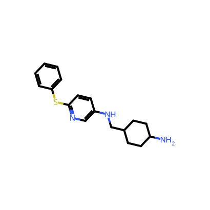 NC1CCC(CNc2ccc(Sc3ccccc3)nc2)CC1